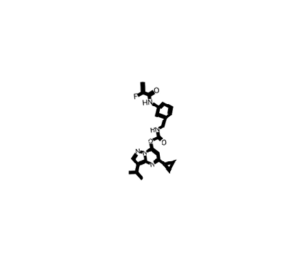 C=C(F)C(=O)Nc1cccc(CNC(=O)Oc2cc(C3CC3)nc3c(C(C)C)cnn23)c1